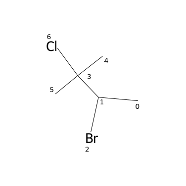 CC(Br)C(C)(C)Cl